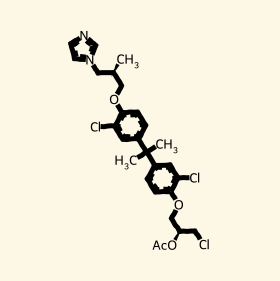 CC(=O)O[C@H](CCl)COc1ccc(C(C)(C)c2ccc(OC[C@H](C)Cn3ccnc3)c(Cl)c2)cc1Cl